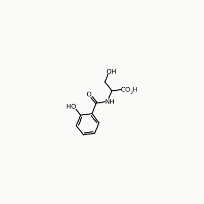 O=C(NC(CO)C(=O)O)c1ccccc1O